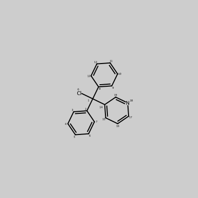 ClC(c1ccccc1)(c1ccccc1)c1cccnc1